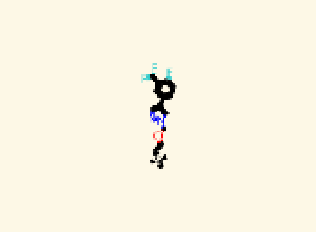 C[Si](C)(C)CCOCn1cc(-c2ccc(F)c(C(F)F)c2)cn1